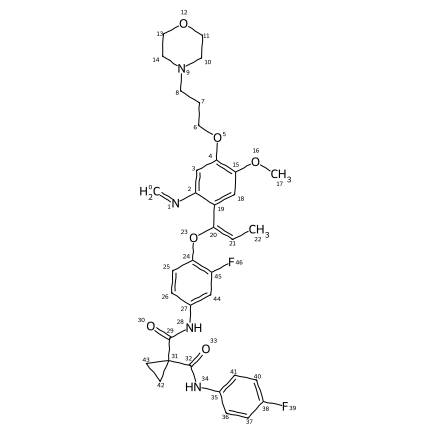 C=Nc1cc(OCCCN2CCOCC2)c(OC)cc1/C(=C\C)Oc1ccc(NC(=O)C2(C(=O)Nc3ccc(F)cc3)CC2)cc1F